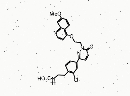 COc1ccc2c(OCCn3nc(-c4ccc(CCNC(=O)O)c(Cl)c4)ccc3=O)ccnc2c1